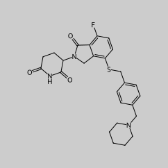 O=C1CCC(N2Cc3c(SCc4ccc(CN5CCCCC5)cc4)ccc(F)c3C2=O)C(=O)N1